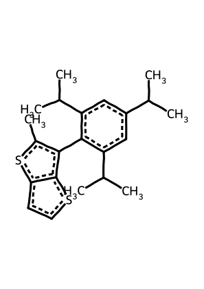 Cc1sc2ccsc2c1-c1c(C(C)C)cc(C(C)C)cc1C(C)C